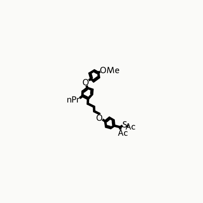 CCCc1cc(Oc2ccc(OC)cc2)ccc1CCCCOc1ccc(C(SC(C)=O)C(C)=O)cc1